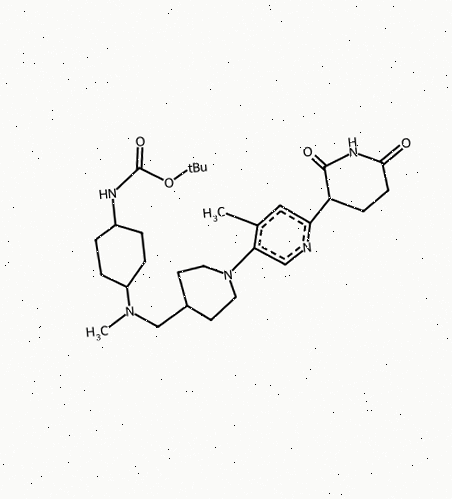 Cc1cc(C2CCC(=O)NC2=O)ncc1N1CCC(CN(C)C2CCC(NC(=O)OC(C)(C)C)CC2)CC1